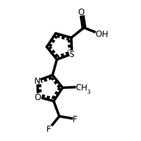 Cc1c(-c2ccc(C(=O)O)s2)noc1C(F)F